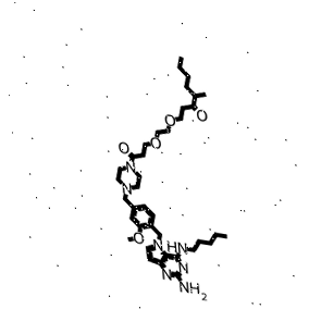 CCCCCNc1nc(N)nc2ccn(Cc3ccc(CN4CCN(C(=O)CCOCCOCCC(=O)C(C)CCCC)CC4)cc3OC)c12